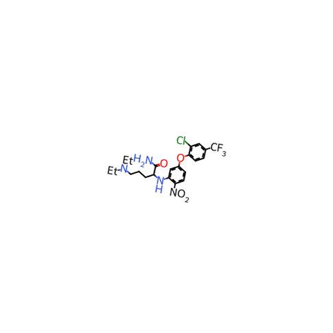 CCN(CC)CCCC(Nc1cc(Oc2ccc(C(F)(F)F)cc2Cl)ccc1[N+](=O)[O-])C(N)=O